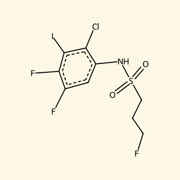 O=S(=O)(CCCF)Nc1cc(F)c(F)c(I)c1Cl